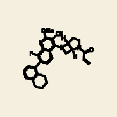 C=CC(=O)N1CC[C@@H]2[C@H]1CN2c1c(C#N)c(OC)nc2c(F)c(-c3cccc4c3CCCC4)ccc12